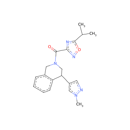 CC(C)c1nc(C(=O)N2Cc3ccccc3C(c3cnn(C)c3)C2)no1